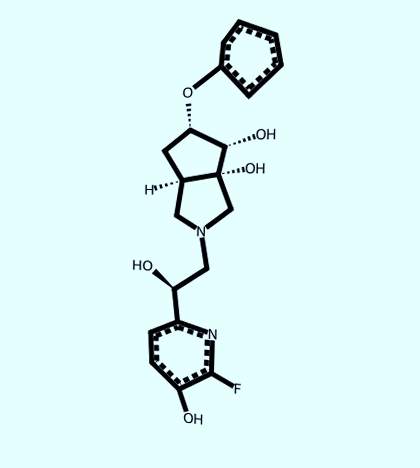 Oc1ccc([C@@H](O)CN2C[C@H]3C[C@H](Oc4ccccc4)[C@H](O)[C@@]3(O)C2)nc1F